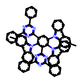 Cc1ccc2c(c1)c1ccccc1n2-c1cc(-c2nc(-c3ccccc3)nc(-c3ccccc3)n2)c(-n2c3ccccc3c3cc(C)ccc32)c(-c2nc(-c3ccccc3)nc(-c3ccccc3)n2)c1-n1c2ccccc2c2ccccc21